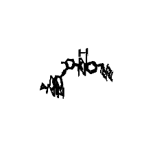 Cc1ccc(-c2nc3ccc(CN4CCN(C)CC4)cc3[nH]2)cc1C#Cc1cnc(NC2CC2)nc1